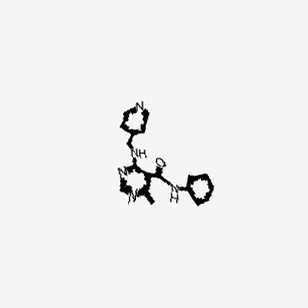 Cc1ncnc(NCc2ccncc2)c1C(=O)Nc1ccccc1